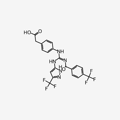 O=C(O)Cc1ccc(N/C(=N/C(=O)c2ccc(C(F)(F)F)cc2)Nc2cc(C(F)(F)F)n[nH]2)cc1